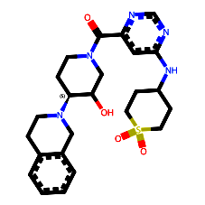 O=C(c1cc(NC2CCS(=O)(=O)CC2)ncn1)N1CC[C@H](N2CCc3ccccc3C2)C(O)C1